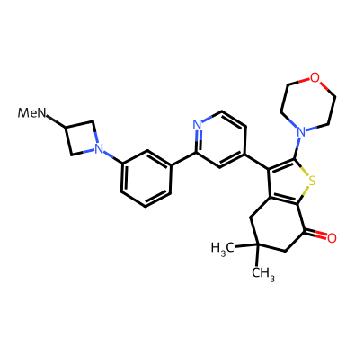 CNC1CN(c2cccc(-c3cc(-c4c(N5CCOCC5)sc5c4CC(C)(C)CC5=O)ccn3)c2)C1